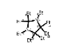 CCN1C(CC)(CC)N(CC)C(CC)(CC)C1(CC)CC